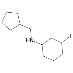 IC1CCCC(NCC2CCCC2)C1